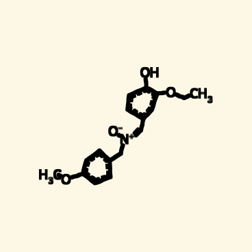 CCOc1cc(C=[N+]([O-])Cc2ccc(OC)cc2)ccc1O